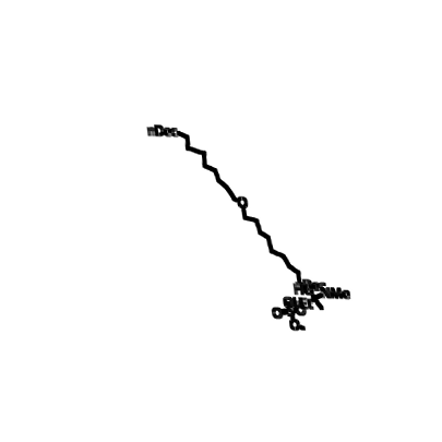 CCC(C)(O)NC.CCCCCCCCCCCCCCCCCCOCCCCCCCCCCCCCCCCCC.COS(=O)(=O)O